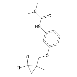 CN(C)C(=O)Nc1cccc(OCC2(C)CC2(Cl)Cl)c1